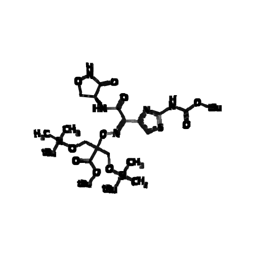 CC(C)(C)OC(=O)Nc1nc(/C(=N/OC(CO[Si](C)(C)C(C)(C)C)(CO[Si](C)(C)C(C)(C)C)C(=O)OC(C)(C)C)C(=O)N[C@H]2CONC2=O)cs1